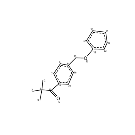 CC(C)(C)C(=O)c1ccc(COc2ccccc2)cc1